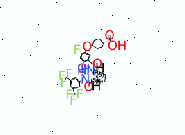 COc1cc(F)c(O[C@H]2CC[C@@H](C(=O)O)CC2)cc1C(=O)N[C@@H]1[C@H]2CC[C@H](C2)[C@@H]1C(=O)Nc1cc(C(F)(F)F)cc(C(F)(F)F)c1